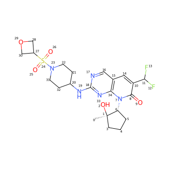 C[C@@]1(O)CCC[C@H]1n1c(=O)c(C(F)F)cc2cnc(NC3CCN(S(=O)(=O)C4COC4)CC3)nc21